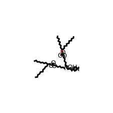 CCCCCCCCCCC(CCCCCCCC)COC(=O)OCCCCCCN(CCCCCCOC(=O)OCC(CCCCCCCC)CCCCCCCCCC)CC(O)CN1CCN(C)CC1